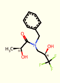 C[C@H](O)C(=O)N(Cc1ccccc1)C[C@@H](O)C(F)(F)F